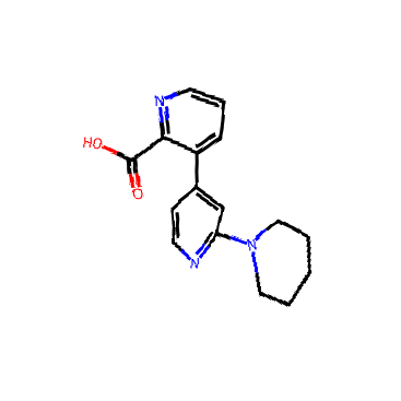 O=C(O)c1ncccc1-c1ccnc(N2CCCCC2)c1